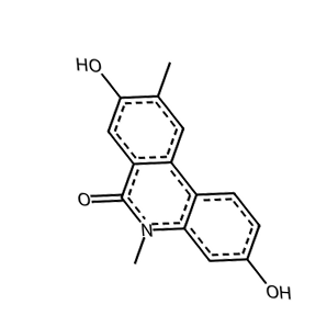 Cc1cc2c(cc1O)c(=O)n(C)c1cc(O)ccc21